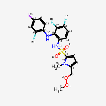 COOCc1ccc(S(=O)(=O)Nc2ccc(F)c(F)c2Nc2ccc(I)cc2F)n1C